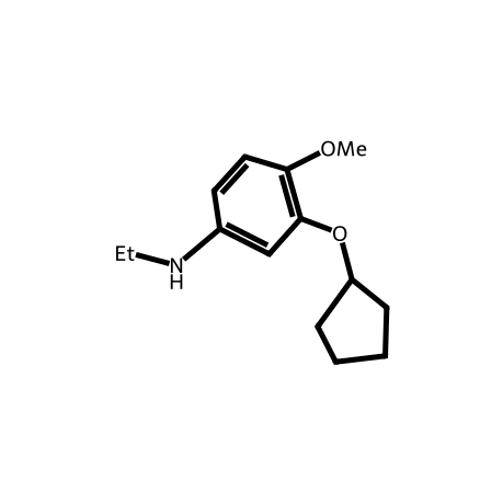 CCNc1ccc(OC)c(OC2CCCC2)c1